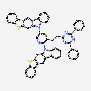 c1ccc(-c2nc(CCc3cc(-n4c5ccccc5c5cc6c(cc54)sc4ccccc46)cnc3-n3c4ccccc4c4cc5c(cc43)sc3ccccc35)nc(-c3ccccc3)n2)cc1